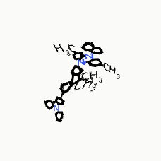 Cc1ccc2c(c1)N(c1cccc3ccccc13)c1cc(C)ccc1N2c1ccc2c(c1)C(C)(C)c1cc(-c3ccc4c(c3)c3ccccc3n4-c3ccccc3)ccc1-2